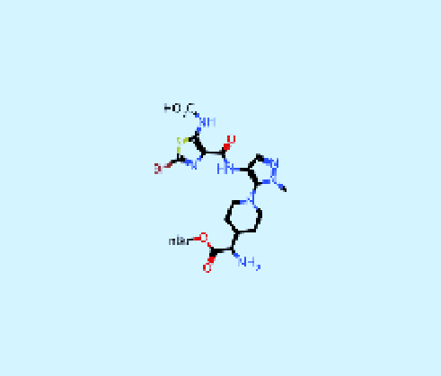 CCCCOC(=O)C(N)C1CCN(c2c(NC(=O)c3nc(Br)sc3NC(=O)O)cnn2C)CC1